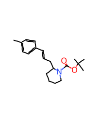 Cc1ccc(/C=C/CC2CCCCN2C(=O)OC(C)(C)C)cc1